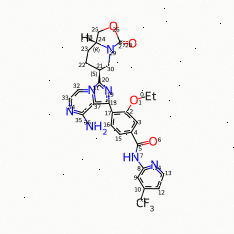 CCOc1cc(C(=O)Nc2cc(C(F)(F)F)ccn2)ccc1-c1nc([C@H]2CC[C@@H]3COC(=O)N3C2)n2ccnc(N)c12